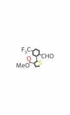 COC(=O)c1ccsc1-c1cc(C(F)(F)F)ccc1C=O